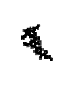 CCNc1nc(Nc2cc(C#N)cc(N3CCN(C(C)C(N)=O)CC3)c2Cl)nn2c(C#N)cnc12